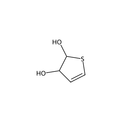 OC1C=CSC1O